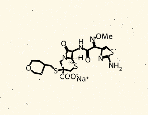 CON=C(C(=O)NC1C(=O)N2CC(SCC3CCOCC3)(C(=O)[O-])CS[C@H]12)c1csc(N)n1.[Na+]